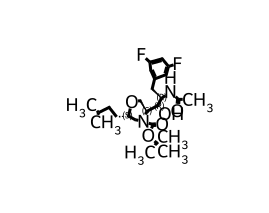 CC(=O)N[C@H](Cc1cc(F)cc(F)c1)[C@@H](O)[C@@H]1CO[C@@H](CCC(C)C)CN1C(=O)OC(C)(C)C